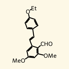 CCOc1ccc(/C=C/c2cc(OC)cc(OC)c2C=O)cc1